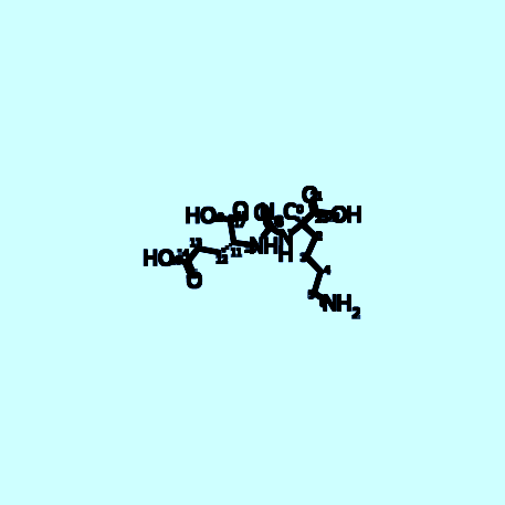 C[C@](CCCCN)(NC(=O)N[C@H](CCC(=O)O)C(=O)O)C(=O)O